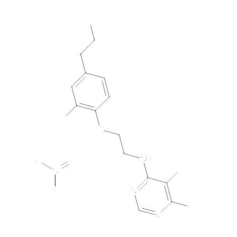 CCCc1ccc(OCCNc2ncnc(C)c2Cl)c(C)c1.O=[N+]([O-])O